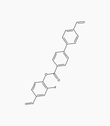 C=Cc1ccc(-c2ccc(C(=O)Oc3ccc(C=C)cc3F)cc2)cc1